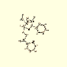 COC(=O)C(C)(CSC(=S)c1ccccc1)CC(C(C)=O)c1ccccc1